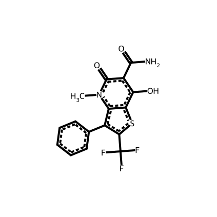 Cn1c(=O)c(C(N)=O)c(O)c2sc(C(F)(F)F)c(-c3ccccc3)c21